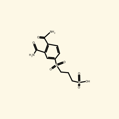 NC(=O)c1ccc(S(=O)(=O)CCCS(=O)(=O)O)cc1C(N)=O